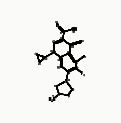 Cc1c(F)c(N2CC[C@H](N)C2)nc2c1c(=O)c(C(=O)O)cn2C1CC1